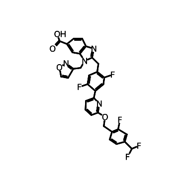 O=C(O)c1ccc2nc(Cc3cc(F)c(-c4cccc(OCc5ccc(C(F)F)cc5F)n4)cc3F)n(Cc3ccon3)c2c1